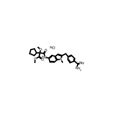 COC(=O)C(OC)(C(=O)Nc1ccc2c(c1)cc(Cc1ccc(C(=N)N)cc1)n2C)C1CCCC1.Cl